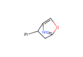 CC(C)C1Cc2nc1co2